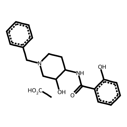 CC(=O)O.O=C(NC1CCN(Cc2ccccc2)CC1O)c1ccccc1O